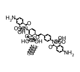 Nc1ccc(C(=O)NC2=CC(S(=O)(=O)O)(S(=O)(=O)O)C(C=Cc3ccc(NC(=O)c4ccc(N)cc4S(=O)(=O)O)cc3)C=C2)c(S(=O)(=O)O)c1.[Na].[Na].[Na].[Na]